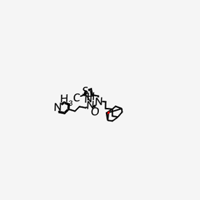 Cc1nc(CN(CCC23CC4CC(CC(C4)C2)C3)C(=O)NCCCc2ccncc2)cs1